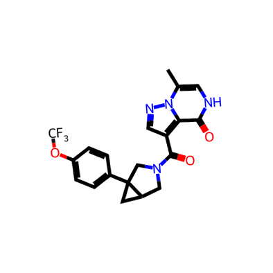 Cc1c[nH]c(=O)c2c(C(=O)N3CC4CC4(c4ccc(OC(F)(F)F)cc4)C3)cnn12